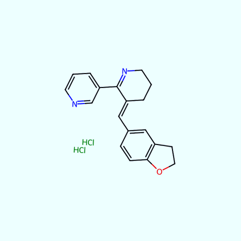 C(=C1CCCN=C1c1cccnc1)c1ccc2c(c1)CCO2.Cl.Cl